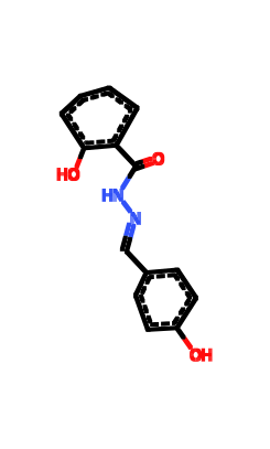 O=C(NN=Cc1ccc(O)cc1)c1ccccc1O